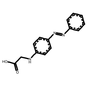 O=C(O)CNc1ccc(/N=N/c2ccccc2)cc1